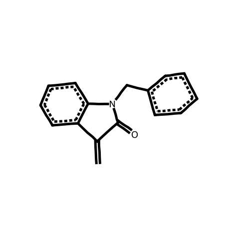 C=C1C(=O)N(Cc2ccccc2)c2ccccc21